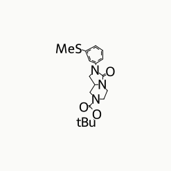 CSc1cccc(N2CC3CN(C(=O)OC(C)(C)C)CCN3C2=O)c1